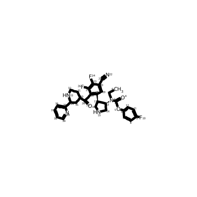 CCN(C(=O)Oc1ccc(F)cc1)[C@@H]1CNC[C@H]1c1cc(C#N)c(F)c(F)c1C(=O)C1CCNC(c2ccccn2)C1